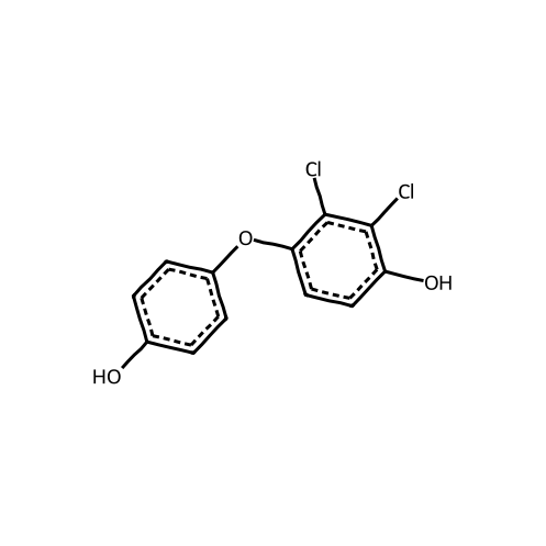 Oc1ccc(Oc2ccc(O)c(Cl)c2Cl)cc1